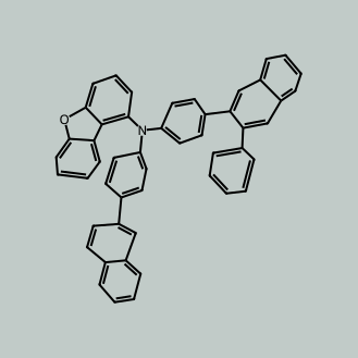 c1ccc(-c2cc3ccccc3cc2-c2ccc(N(c3ccc(-c4ccc5ccccc5c4)cc3)c3cccc4oc5ccccc5c34)cc2)cc1